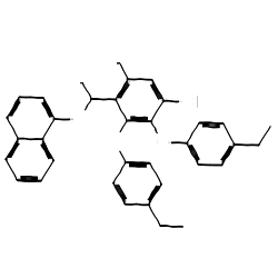 CCc1ccc(Oc2c(O)cc(Cl)c(C(I)Oc3cccc4ccccc34)c2Oc2ccc(CC)cc2)cc1